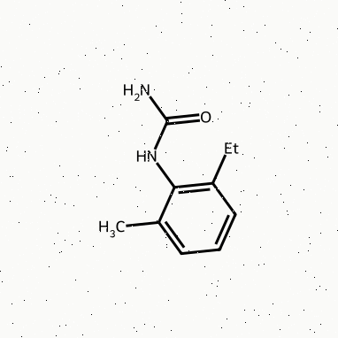 CCc1cccc(C)c1NC(N)=O